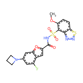 COc1ccc2snnc2c1S(=O)(=O)NC(=O)c1cc2c(F)cc(N3CCC3)cc2o1